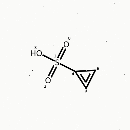 O=S(=O)(O)C1=C=C1